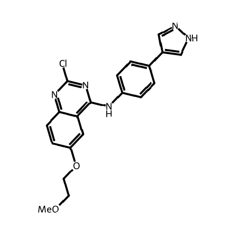 COCCOc1ccc2nc(Cl)nc(Nc3ccc(-c4cn[nH]c4)cc3)c2c1